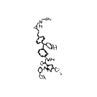 CC(C)CNCC1CC1CCc1ccc(C(O)c2cccc(NC(=O)c3cc(C(F)(F)F)nn3-c3cccc(C#N)c3)c2)cc1